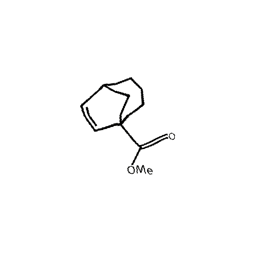 COC(=O)C12C=CC(CC1)C2